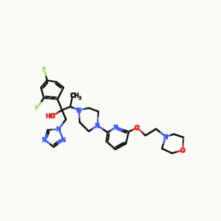 CC(N1CCN(c2cccc(OCCN3CCOCC3)n2)CC1)C(O)(Cn1cncn1)c1ccc(F)cc1F